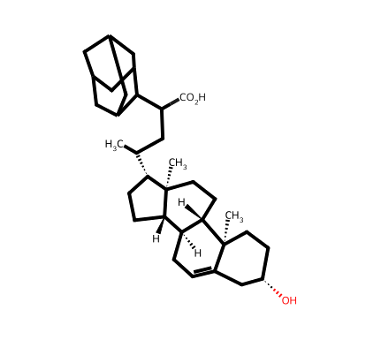 CC(CC(C(=O)O)C1C2CC3CC(C2)CC1C3)[C@H]1CC[C@H]2[C@@H]3CC=C4C[C@@H](O)CC[C@]4(C)[C@H]3CC[C@]12C